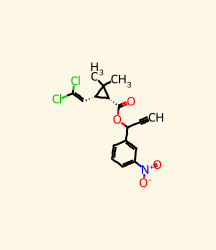 C#CC(OC(=O)[C@@H]1[C@H](C=C(Cl)Cl)C1(C)C)c1cccc([N+](=O)[O-])c1